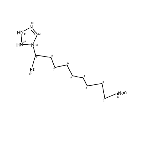 CCCCCCCCCCCCCCCCCC(CC)N1C=NNN1